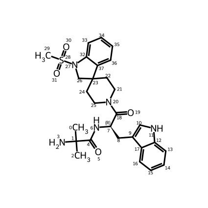 CC(C)(N)C(=O)N[C@H](Cc1c[nH]c2ccccc12)C(=O)N1CCC2(CC1)CN(S(C)(=O)=O)c1ccccc12